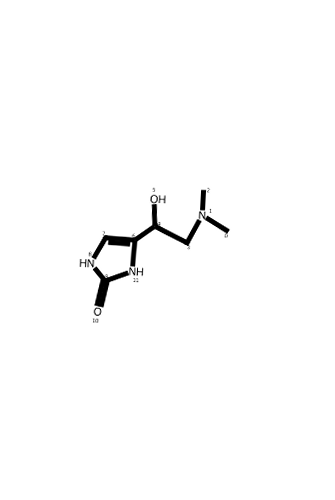 CN(C)CC(O)c1c[nH]c(=O)[nH]1